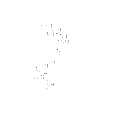 COc1cc(N2CCC(CN3CCN(c4cccc5c4C(=O)N(C4CCC(=O)NC4=O)C5=O)CC3)CC2)c(F)cc1Nc1ncc2c(n1)N(C1CCCC1)CC(F)(F)C(=O)N2C